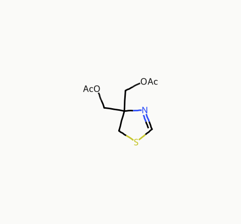 CC(=O)OCC1(COC(C)=O)CSC=N1